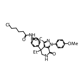 CCC1(c2ccc(NC(=O)CCCCCl)cc2)CNC(=O)c2c1c(C(=O)O)nn2-c1ccc(OC)cc1